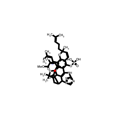 COC(=O)/C(C)=C\CC12OC(C)(C)C3CC(C1=O)C1C4=C(Nc5ncn1n5)c1c(OP(=O)(O)O)c5c(c(CC=C(C)C)c1OC432)OC(C)(CCC=C(C)C)C=C5